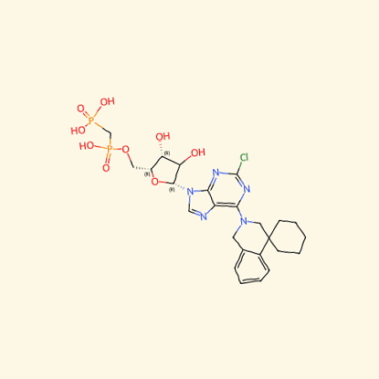 O=P(O)(O)CP(=O)(O)OC[C@H]1O[C@@H](n2cnc3c(N4Cc5ccccc5C5(CCCCC5)C4)nc(Cl)nc32)C(O)[C@H]1O